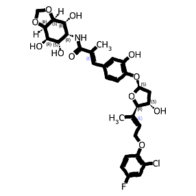 C/C(=C\c1ccc(O[C@H]2C[C@H](O)[C@@H](/C(C)=C/COc3ccc(F)cc3Cl)O2)c(O)c1)C(=O)N[C@@H]1[C@H](O)[C@@H](O)[C@H]2OCO[C@H]2[C@@H]1O